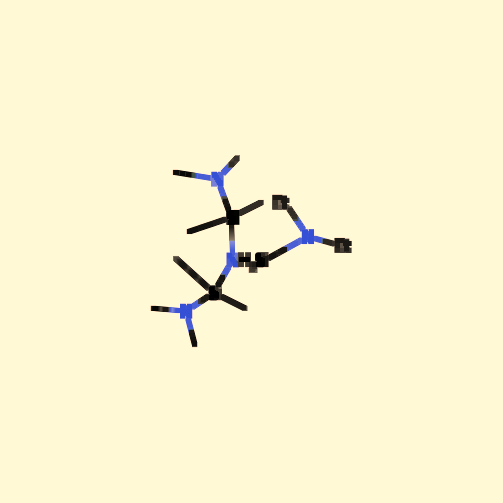 CCN(CC)[SiH2]N([Si](C)(C)N(C)C)[Si](C)(C)N(C)C